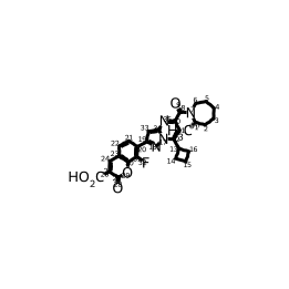 C[C@@H]1CCCCCN1C(=O)c1cc(C2CCC2)n2nc(-c3ccc4cc(C(=O)O)c(=O)oc4c3F)cc2n1